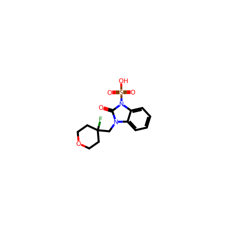 O=c1n(CC2(F)CCOCC2)c2ccccc2n1S(=O)(=O)O